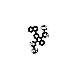 c1ccc2c(-c3ccc4c(-c5cncc(-c6nccs6)c5)c5ccccc5c(-c5cncc(-c6nccs6)c5)c4c3)cccc2c1